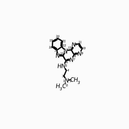 CN(C)CCNc1nc2nccnc2n2c1nc1ccccc12